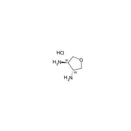 Cl.N[C@H]1COC[C@@H]1N